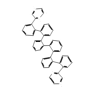 c1ccc(-c2ccccc2-c2ccccc2-c2ccccc2-c2ccccc2-c2ccccc2-c2cnccn2)c(-c2cnccn2)c1